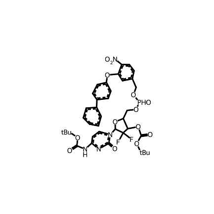 CC(C)(C)OC(=O)Nc1ccn(C2OC(CO[PH](=O)OCc3ccc([N+](=O)[O-])c(Oc4ccc(-c5ccccc5)cc4)c3)C(OC(=O)OC(C)(C)C)C2(F)F)c(=O)n1